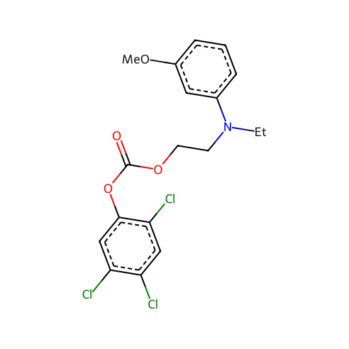 CCN(CCOC(=O)Oc1cc(Cl)c(Cl)cc1Cl)c1cccc(OC)c1